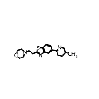 C[C@H]1CCC(c2ccc3sc(CCN4CCOCC4)nc3c2)=NC1